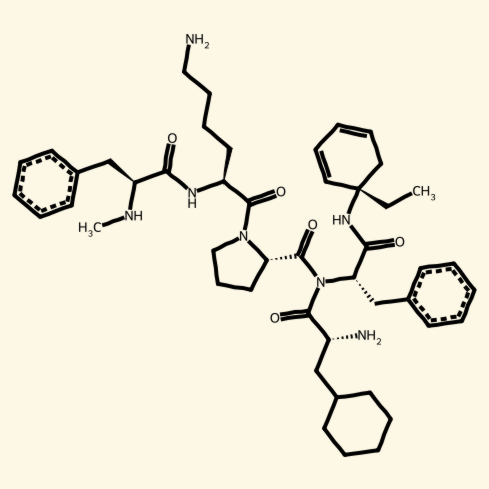 CC[C@@]1(NC(=O)[C@H](Cc2ccccc2)N(C(=O)[C@H](N)CC2CCCCC2)C(=O)[C@@H]2CCCN2C(=O)[C@H](CCCCN)NC(=O)[C@H](Cc2ccccc2)NC)C=CC=CC1